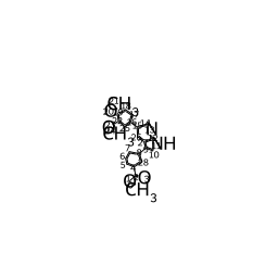 COC(=O)c1cccc(-c2c[nH]c3ncc(-c4ccc(OC)c(OC)c4)cc23)c1